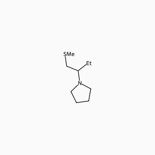 CCC(CSC)N1CCCC1